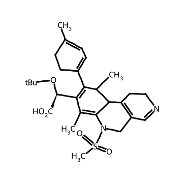 CC1=CC=C(C2=C([C@H](OC(C)(C)C)C(=O)O)C(C)=C3C(C4=C(C=NCC4)CN3S(C)(=O)=O)C2C)CC1